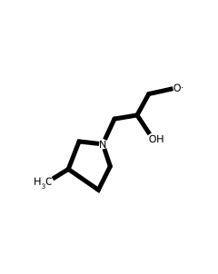 CC1CCN(CC(O)C[O])C1